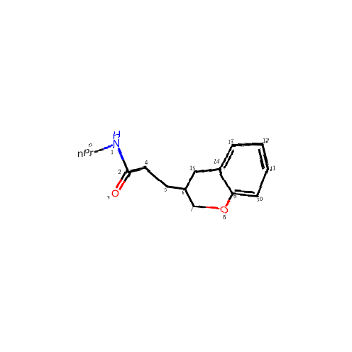 CCCNC(=O)CCC1COc2ccccc2C1